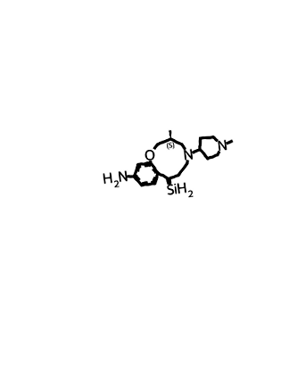 C[C@@H]1COc2cc(N)ccc2C(=[SiH2])CCN(C2CCN(C)CC2)C1